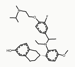 CCN(c1cc(OC)ccc1[C@@H]1CCc2cc(O)ccc2C1)C(C)c1ccc(OCCN(C)C(C)C)c(F)c1